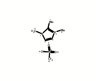 Cn1cc[n+](C(C)(C)C)c1C(C)(C)C.O=S(=O)([O-])C(F)(F)F